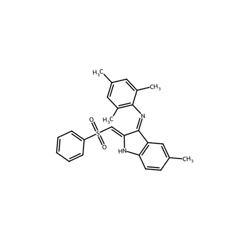 Cc1cc(C)c(/N=C2\C(=C\S(=O)(=O)c3ccccc3)Nc3ccc(C)cc32)c(C)c1